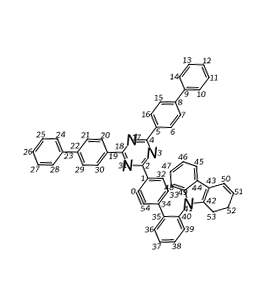 c1c(-c2nc(-c3ccc(-c4ccccc4)cc3)nc(-c3ccc(-c4ccccc4)cc3)n2)ccc(-c2ccccc2-n2c3c(c4ccccc42)C=CCC3)c#1